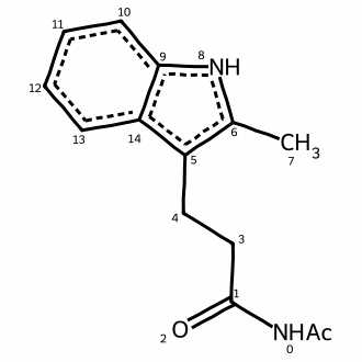 CC(=O)NC(=O)CCc1c(C)[nH]c2ccccc12